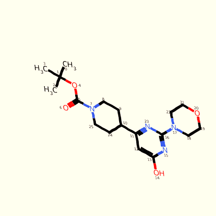 CC(C)(C)OC(=O)N1CCC(c2cc(O)nc(N3CCOCC3)n2)CC1